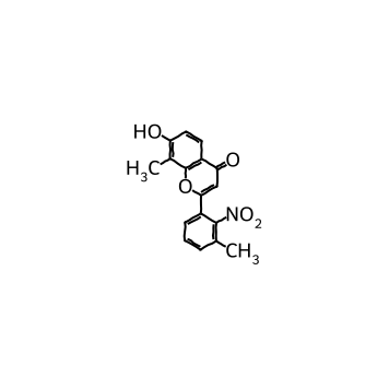 Cc1cccc(-c2cc(=O)c3ccc(O)c(C)c3o2)c1[N+](=O)[O-]